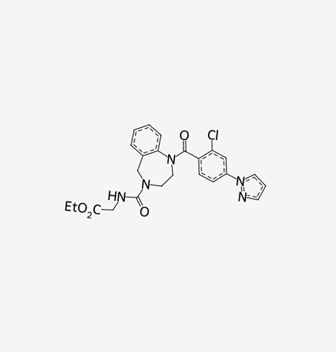 CCOC(=O)CNC(=O)N1CCN(C(=O)c2ccc(-n3cccn3)cc2Cl)c2ccccc2C1